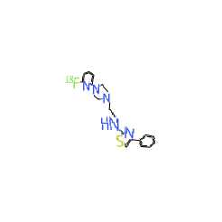 [18F]c1cccc(N2CCN(CCCNc3nc(-c4ccccc4)cs3)CC2)n1